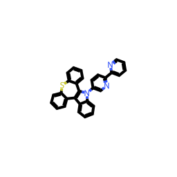 c1ccc(-c2ccc(-n3c4c(c5ccccc53)-c3ccccc3Sc3ccccc3-4)cn2)nc1